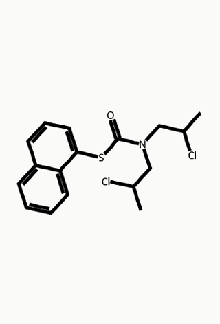 CC(Cl)CN(CC(C)Cl)C(=O)Sc1cccc2ccccc12